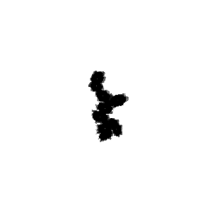 c1ccc(N(c2ccc(-c3cccc(-n4c5ccc6ccccc6c5c5c6ccccc6ccc54)c3)cc2)c2ccc(-c3ccc4ccccc4c3)cc2)cc1